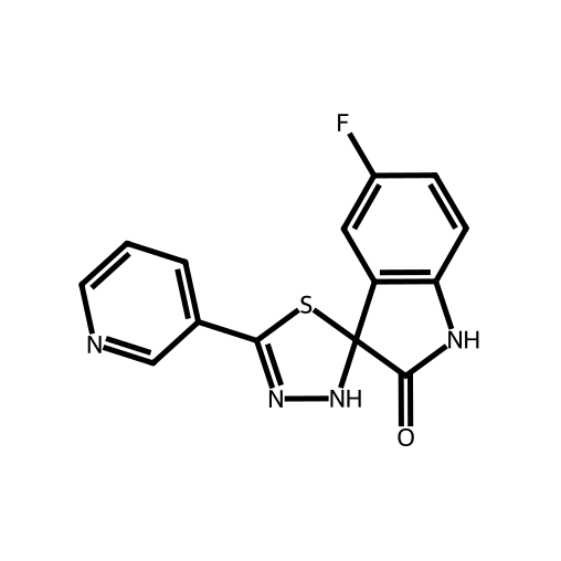 O=C1Nc2ccc(F)cc2C12NN=C(c1cccnc1)S2